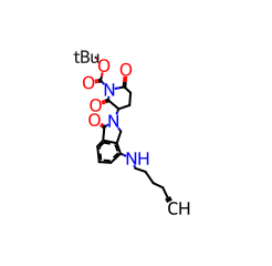 C#CCCCCNc1cccc2c1CN(C1CCC(=O)N(C(=O)OC(C)(C)C)C1=O)C2=O